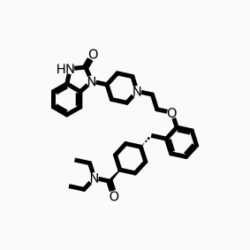 CCN(CC)C(=O)[C@H]1CC[C@H](Cc2ccccc2OCCN2CCC(n3c(=O)[nH]c4ccccc43)CC2)CC1